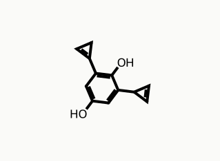 Oc1cc(C2=CC2)c(O)c(C2C=C2)c1